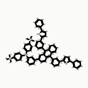 C[Si](C)(C)c1ccc(N(c2ccc([Si](C)(C)C)cc2)c2cccc(-c3ccc4c(-c5cccc(-c6ccc(-c7ccccc7)s6)c5)c5ccccc5c(-c5cccc(-c6ccc(-c7ccccc7)s6)c5)c4c3)c2)cc1